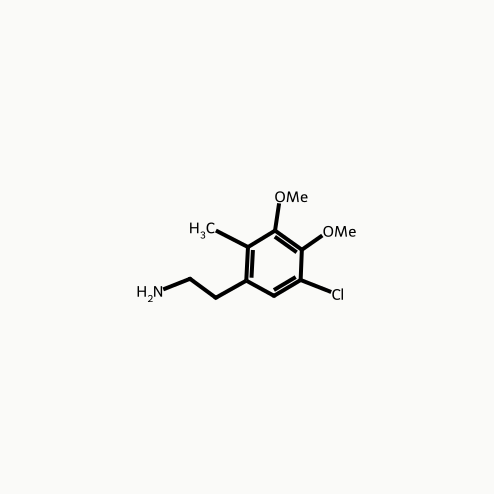 COc1c(Cl)cc(CCN)c(C)c1OC